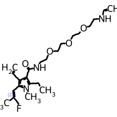 C=CNCCOCCOCCOCCNC(=O)c1c(C=C)c(/C=C(/C)CF)n(C)c1CC